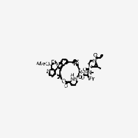 C=CC(=O)N1CCN(C(=O)N(C)C(C(=O)N[C@H]2Cc3nc(cs3)-c3ccc4c(c3)c(c(-c3cccnc3[C@H](C)OC)n4CC)CC(C)(C)COC(=O)[C@@H]3CCCN(N3)C2=O)C(C)C)C2C(C)C21